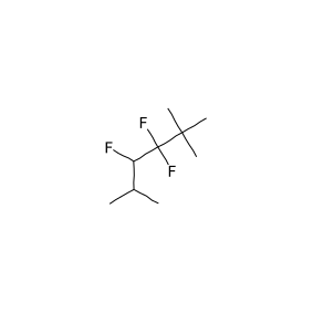 CC(C)C(F)C(F)(F)C(C)(C)C